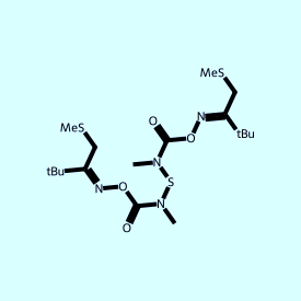 CSCC(=NOC(=O)N(C)SN(C)C(=O)ON=C(CSC)C(C)(C)C)C(C)(C)C